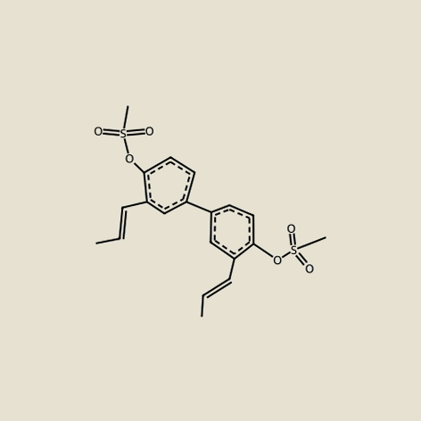 CC=Cc1cc(-c2ccc(OS(C)(=O)=O)c(C=CC)c2)ccc1OS(C)(=O)=O